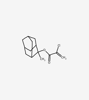 C=C(Cl)C(=O)OC1(C)C2CC3CC(C2)CC1C3